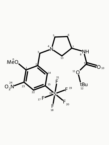 COc1c(CN2CCC(NC(=O)OC(C)(C)C)C2)cc(S(F)(F)(F)(F)F)cc1[N+](=O)[O-]